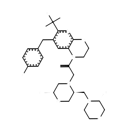 C[C@@H]1CN(CC(=O)N2CCOc3nc(C(F)(F)F)c(Cc4ccc(F)cc4)cc32)[C@@H](CN2CCOC[C@H]2C)CN1